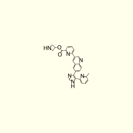 Cc1cccc(-c2[nH]cnc2-c2ccc3ncc(-c4cccc(C(=O)OC5CNC5)n4)cc3c2)n1